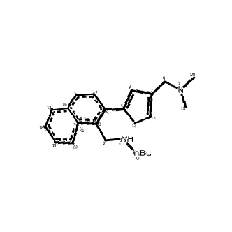 CCCCNCc1c(C2=CC(CN(C)C)=CC2)ccc2ccccc12